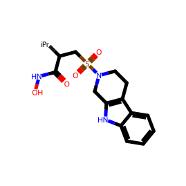 CC(C)C(CS(=O)(=O)N1CCc2c([nH]c3ccccc23)C1)C(=O)NO